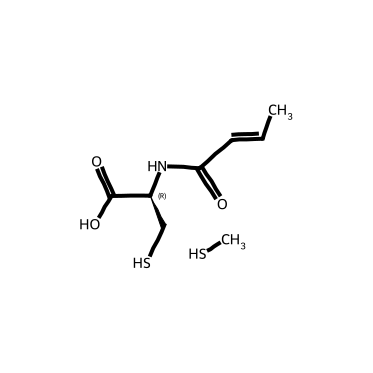 CC=CC(=O)N[C@@H](CS)C(=O)O.CS